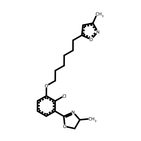 Cc1cc(CCCCCCOc2cccc(C3=NC(C)CO3)c2Cl)on1